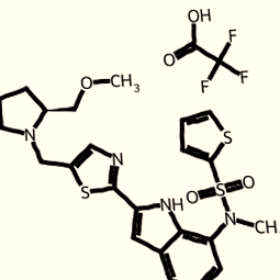 COC[C@@H]1CCCN1Cc1cnc(-c2cc3cccc(N(C)S(=O)(=O)c4cccs4)c3[nH]2)s1.O=C(O)C(F)(F)F